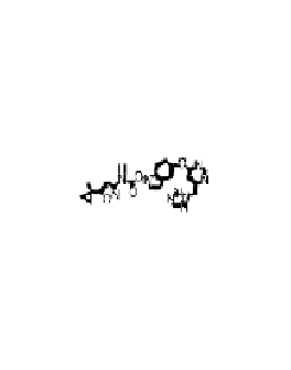 CC1(c2cc(NC(=O)On3ccc4cc(Oc5cc(Cn6ncnn6)ncn5)ccc43)no2)CC1